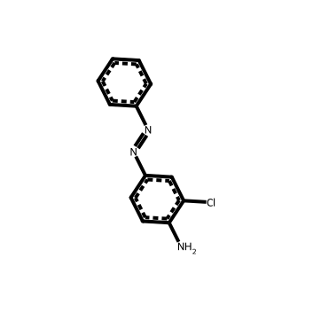 Nc1ccc(N=Nc2ccccc2)cc1Cl